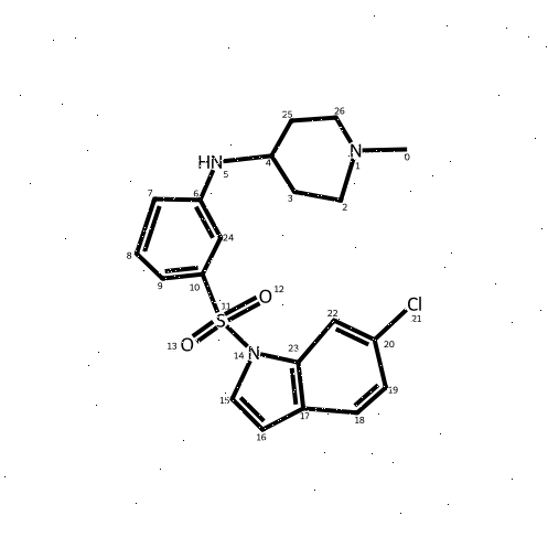 CN1CCC(Nc2cccc(S(=O)(=O)n3ccc4ccc(Cl)cc43)c2)CC1